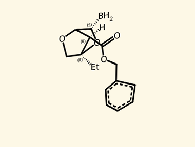 B[C@@H]1O[C@@]2(CC)COC1[C@H]2C(=O)OCc1ccccc1